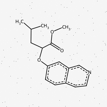 COC(=O)C(CC(C)C)Oc1ccc2ccncc2c1